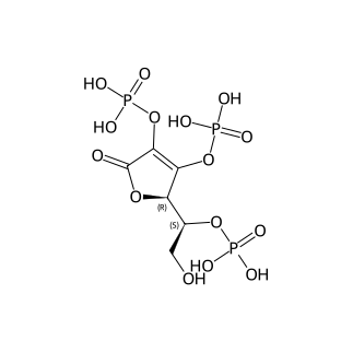 O=C1O[C@H]([C@H](CO)OP(=O)(O)O)C(OP(=O)(O)O)=C1OP(=O)(O)O